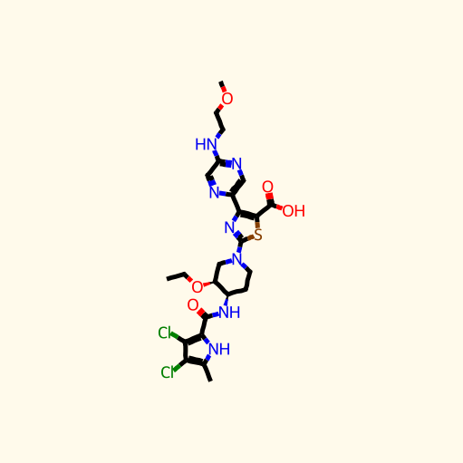 CCO[C@H]1CN(c2nc(-c3cnc(NCCOC)cn3)c(C(=O)O)s2)CC[C@H]1NC(=O)c1[nH]c(C)c(Cl)c1Cl